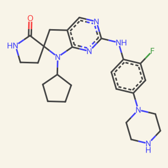 O=C1NCCC12Cc1cnc(Nc3ccc(N4CCNCC4)cc3F)nc1N2C1CCCC1